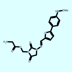 CONc1ccc(-c2ccc(/C=N/N3CC(=O)N(COC(=O)CN)C3=O)o2)cc1